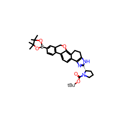 CC(C)(C)OC(=O)N1CCC[C@H]1c1nc2c([nH]1)CCc1c-2ccc2c1OCc1cc(B3OC(C)(C)C(C)(C)O3)ccc1-2